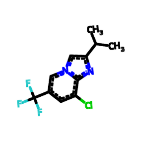 CC(C)c1cn2cc(C(F)(F)F)cc(Cl)c2n1